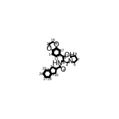 O=C(N[C@H](CN1CCCC1)[C@H](O)c1ccc2c(c1)OCCO2)C1Cc2ccccc2C1